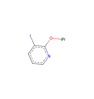 CC(C)Oc1ncccc1I